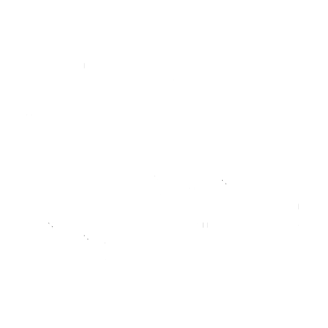 Cc1cc(C=CC(=O)N2CCN(Cc3ccc(CCOc4ccc(F)cc4)cc3)CC2)cc(C)c1Oc1ccc(OCc2ccccc2Cl)cn1.Cl